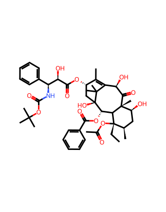 CC[C@@]1(OC(C)=O)C2[C@H](OC(=O)c3ccccc3)[C@]3(O)C[C@H](OC(=O)[C@H](O)[C@@H](NC(=O)OC(C)(C)C)c4ccccc4)C(C)=C([C@@H](O)C(=O)[C@]2(C)[C@@H](O)C[C@H]1C)C3(C)C